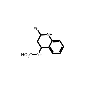 CCC1CC(NC(=O)O)c2ccccc2N1